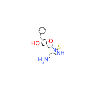 NCCc1c[nH]c(=S)n1C1COc2cc(Cc3ccccc3)c(O)cc2C1